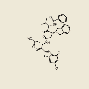 CC(C)[C@H](NC(=O)c1ccccc1)C(=O)N(CC(=O)N[C@@H](CC(=O)O)C(=O)c1nc2c(Cl)cc(Cl)cc2o1)C1Cc2ccccc2C1